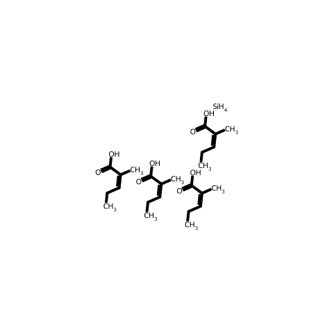 CCC=C(C)C(=O)O.CCC=C(C)C(=O)O.CCC=C(C)C(=O)O.CCC=C(C)C(=O)O.[SiH4]